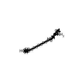 CCCN(OCC)C(=O)C1=Cc2ccc(-c3cnc(CNC(=O)CCOCCOCCOCCOCCOCCOCCOCCOCCC(=O)Oc4c(F)c(F)c(S(=O)(=O)O)c(F)c4F)nc3)cc2N=C(N)C1